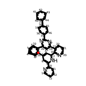 C1=C(c2ccccc2)C=C(c2ccccn2)NC1c1ncccc1-c1cc(-c2ccccc2)nc(-c2ccc(-c3ccccc3)cc2)n1